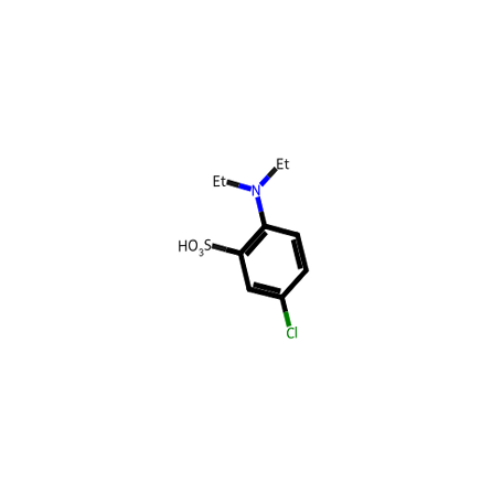 CCN(CC)c1ccc(Cl)cc1S(=O)(=O)O